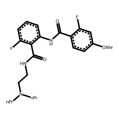 CCCN(CCC)CCNC(=O)c1c(F)cccc1NC(=O)c1ccc(OC)cc1F